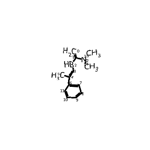 C=C(B/C=C(\C)c1ccccc1)N(C)C